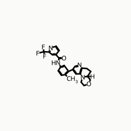 Cc1ccc(NC(=O)c2ccnc(C(F)(F)F)c2)cc1-c1cnc2c(c1)N1CCOC[C@H]1CC2